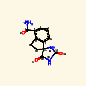 NC(=O)c1cccc2c1CCC21NC(=O)NC1=O